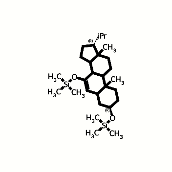 CC(C)[C@H]1CCC2C3C(O[Si](C)(C)C)=CC4C[C@H](O[Si](C)(C)C)CCC4(C)C3CCC21C